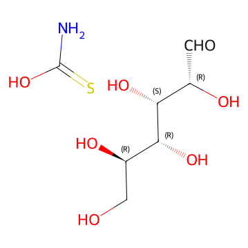 NC(O)=S.O=C[C@H](O)[C@@H](O)[C@H](O)[C@H](O)CO